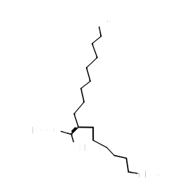 CCCCCCCCCCCCCCCCCC/C(CCCCCCCCCCCCCCCC)=C(/C)C(=O)O